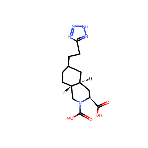 O=C(O)[C@@H]1C[C@@H]2C[C@H](CCc3nn[nH]n3)CC[C@H]2CN1C(=O)O